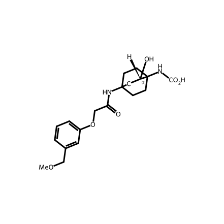 COCc1cccc(OCC(=O)NC23CCC(NC(=O)O)(CC2)[C@@H](O)C3)c1